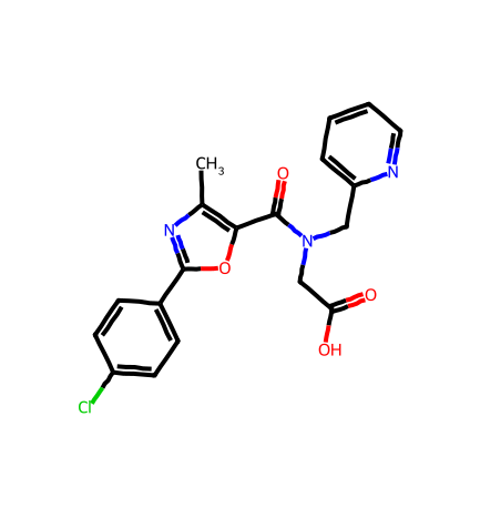 Cc1nc(-c2ccc(Cl)cc2)oc1C(=O)N(CC(=O)O)Cc1ccccn1